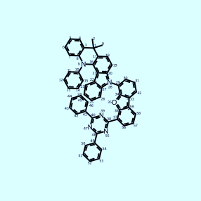 CC1(C)c2ccccc2N(c2ccccc2)c2c1ccc1c2c2ccccc2n1-c1cccc2c1oc1c(-c3nc(-c4ccccc4)nc(-c4ccccc4)n3)cccc12